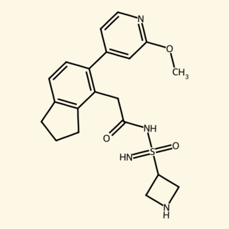 COc1cc(-c2ccc3c(c2CC(=O)NS(=N)(=O)C2CNC2)CCC3)ccn1